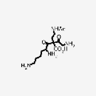 CC(=O)NCCC(C(=O)O)(C(=O)CN)C(=O)C(N)CCCCN